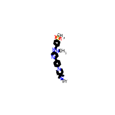 CC(C)N1CC2(CCN(c3ccc(-c4cc5c(cn4)nc(-c4ccc(S(C)(=O)=O)cc4)n5C)cc3)CC2)C1